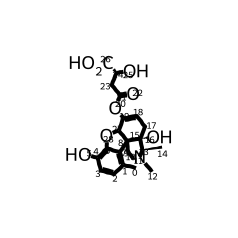 Cc1ccc(O)c2c1C13CCN(C)[C@H](C)[C@]1(O)CC=C(OC(=O)C[C@H](O)C(=O)O)C3O2